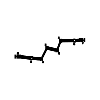 N=C=NN=NN=C=N